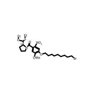 CCOC(SCC)[C@@H]1CCCN1C(=O)c1cc(OC)c(OCCCCCCCCCBr)cc1[N+](=O)[O-]